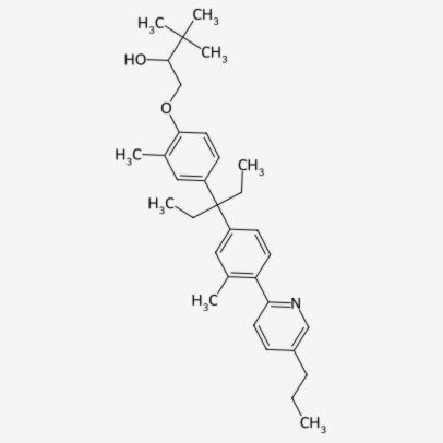 CCCc1ccc(-c2ccc(C(CC)(CC)c3ccc(OCC(O)C(C)(C)C)c(C)c3)cc2C)nc1